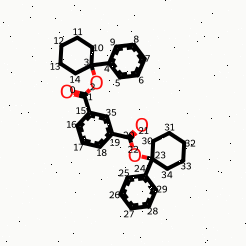 O=C(OC1(c2ccccc2)CCCCC1)c1cccc(C(=O)OC2(c3ccccc3)CCCCC2)c1